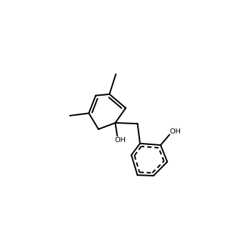 CC1=CC(O)(Cc2ccccc2O)CC(C)=C1